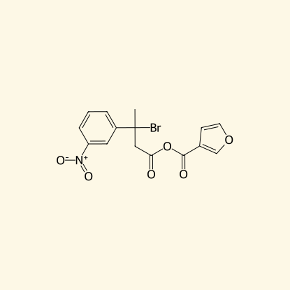 CC(Br)(CC(=O)OC(=O)c1ccoc1)c1cccc([N+](=O)[O-])c1